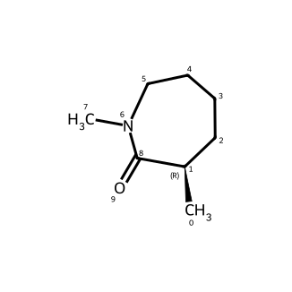 C[C@@H]1CCCCN(C)C1=O